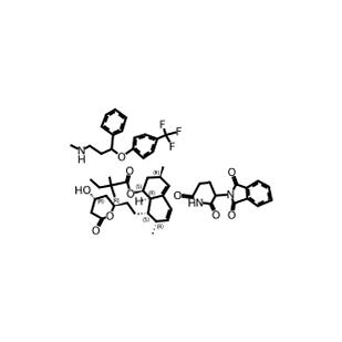 CCC(C)(C)C(=O)O[C@H]1C[C@@H](C)C=C2C=C[C@H](C)[C@H](CC[C@@H]3C[C@@H](O)CC(=O)O3)[C@H]21.CNCCC(Oc1ccc(C(F)(F)F)cc1)c1ccccc1.O=C1CCC(N2C(=O)c3ccccc3C2=O)C(=O)N1